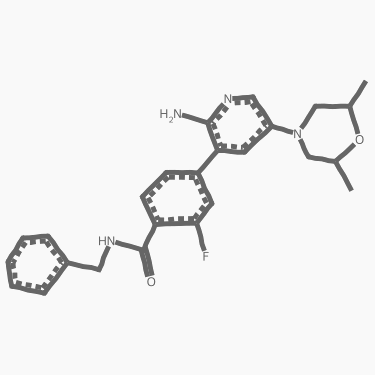 CC1CN(c2cnc(N)c(-c3ccc(C(=O)NCc4ccccc4)c(F)c3)c2)CC(C)O1